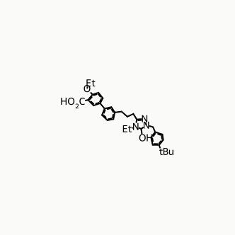 CCOc1ccc(-c2cccc(CCCC3=NN(Cc4ccc(C(C)(C)C)cc4)C(O)N3CC)c2)cc1C(=O)O